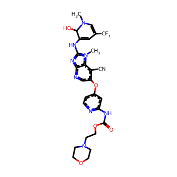 CN1C=C(C(F)(F)F)C=C(Nc2nc3ncc(Oc4ccnc(NC(=O)OCCN5CCOCC5)c4)c(C#N)c3n2C)C1O